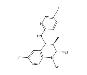 CC[C@H]1[C@H](C)C(Nc2ccc(F)cn2)c2cc(F)ccc2N1C(C)=O